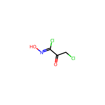 O=C(CCl)/C(Cl)=N/O